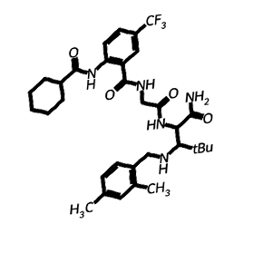 Cc1ccc(CNC(C(NC(=O)CNC(=O)c2cc(C(F)(F)F)ccc2NC(=O)C2CCCCC2)C(N)=O)C(C)(C)C)c(C)c1